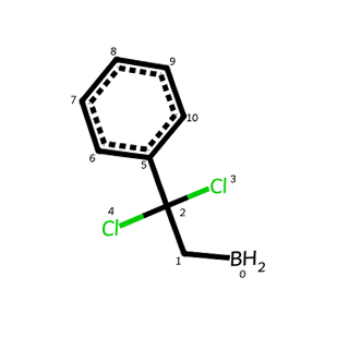 BCC(Cl)(Cl)c1ccccc1